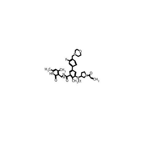 C=CC(=O)N1CCC(N(CC)c2cc(-c3ccc(CN4CCOCC4)c(F)c3)cc(C(=O)NCc3c(C)cc(C)[nH]c3=O)c2C)C1